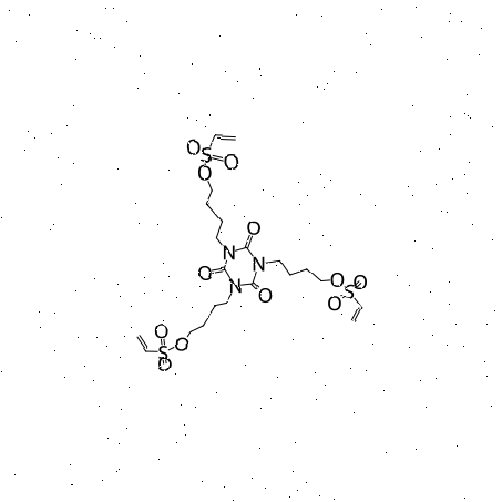 C=CS(=O)(=O)OCCCCn1c(=O)n(CCCCOS(=O)(=O)C=C)c(=O)n(CCCCOS(=O)(=O)C=C)c1=O